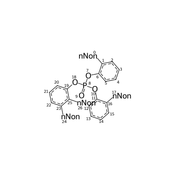 CCCCCCCCCc1ccccc1OP(=O)(Oc1ccccc1CCCCCCCCC)Oc1cccc(CCCCCCCCC)c1CCCCCCCCC